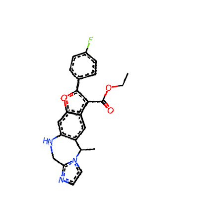 CCOC(=O)c1c(-c2ccc(F)cc2)oc2cc3c(cc12)C(C)n1ccnc1CN3